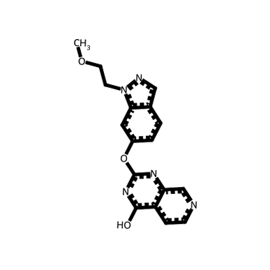 COCCn1ncc2ccc(Oc3nc(O)c4ccncc4n3)cc21